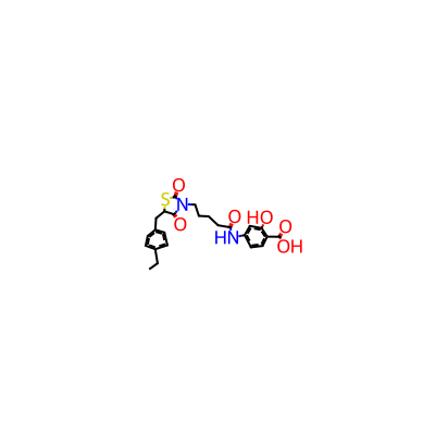 CCc1ccc(CC2SC(=O)N(CCCCC(=O)Nc3ccc(C(=O)O)c(O)c3)C2=O)cc1